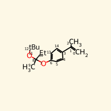 C=C(C)c1ccc(OC(C)(CC)OC(C)(C)C)cc1